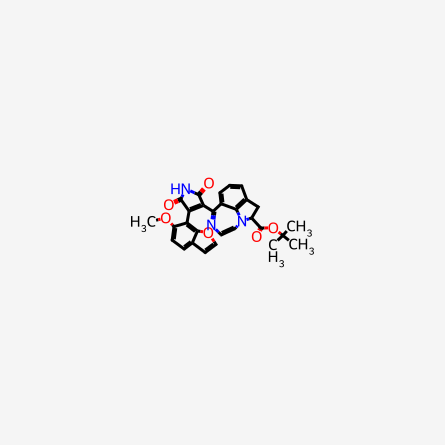 COc1ccc2ccoc2c1C1=C(C2=NC=CN3c4c(cccc42)CC3C(=O)OC(C)(C)C)C(=O)NC1=O